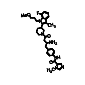 COCCCn1c(C2CCCN(C(=O)CC(N)Cc3ccc(NC(=O)c4cncn4C)cc3)C2)c(C)c2cccc(F)c21